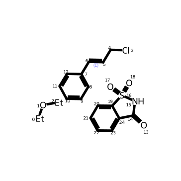 CCOCC.ClC/C=C/c1ccccc1.O=C1NS(=O)(=O)c2ccccc21